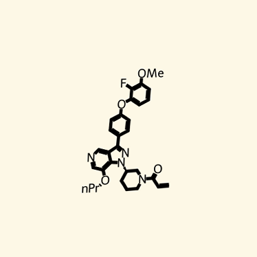 C=CC(=O)N1CCC[C@@H](n2nc(-c3ccc(Oc4cccc(OC)c4F)cc3)c3cncc(OCCC)c32)C1